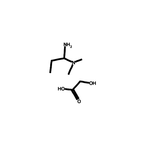 CCC(N)N(C)C.O=C(O)CO